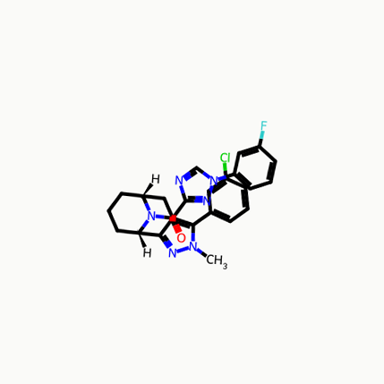 Cn1nc2c(c1-c1cccc(Cl)c1)C[C@H]1CCC[C@@H]2N1C(=O)c1ncn(-c2cccc(F)c2)n1